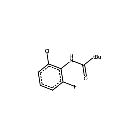 CC(C)(C)C(=O)Nc1c(F)cccc1Cl